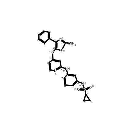 Nc1nc(-c2ccccc2)c(Oc2ccnc(Nc3cccc(NS(=O)(=O)C4CC4)c3)c2)s1